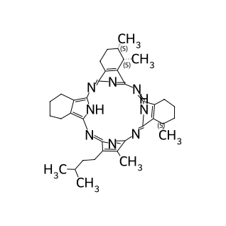 CC1=C(CCC(C)C)c2nc1nc1[nH]c(nc3nc(nc4[nH]c(n2)c2c4CCCC2)C2=C3[C@@H](C)[C@@H](C)CC2)c2c1[C@@H](C)CCC2